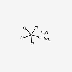 ClP(Cl)(Cl)(Cl)Cl.N.O